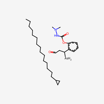 CCCCCCCCCCCCCCCC1CC1.CN(C)NC(=O)Oc1ccccc1C([AsH2])CC=O